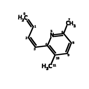 C=C/C=C\c1nc(C)ccc1C